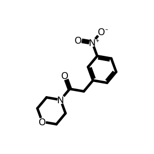 O=C(Cc1cccc([N+](=O)[O-])c1)N1CCOCC1